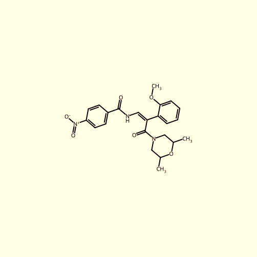 COc1ccccc1C(=CNC(=O)c1ccc([N+](=O)[O-])cc1)C(=O)N1CC(C)OC(C)C1